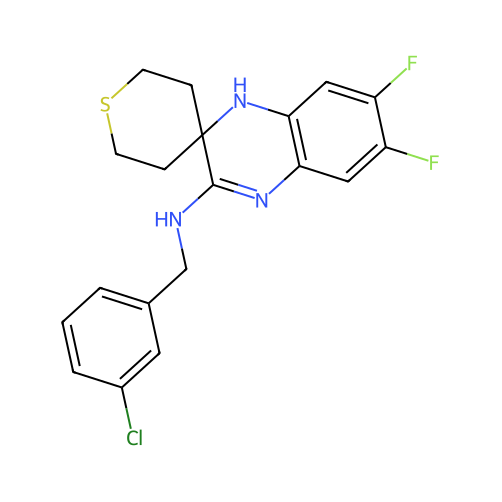 Fc1cc2c(cc1F)NC1(CCSCC1)C(NCc1cccc(Cl)c1)=N2